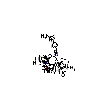 CCC(=O)/N=C1\[C@H](C)C[C@@]2(C)OC/C(=N/OCc3ccc(-c4nc(N)cs4)cn3)CO[C@H]([C@H]1C)[C@](C)(O)[C@@H](CC)OC(=O)[C@@](C)(F)C(=O)[C@H](C)[C@H]2O[C@@H]1O[C@H](C)C[C@H]2[C@H]1OC(=O)CN2C